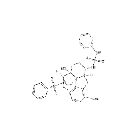 COc1ccc2c3c1O[C@@H]1[C@@H](NS(=O)(=O)Nc4ccccc4)CC[C@]4(O)[C@H](C2)N(S(=O)(=O)c2ccccc2)CC[C@@]314